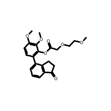 COCCOCC(=O)Oc1c(-c2cccc3c2CCC3=O)ccc(OC)c1OC